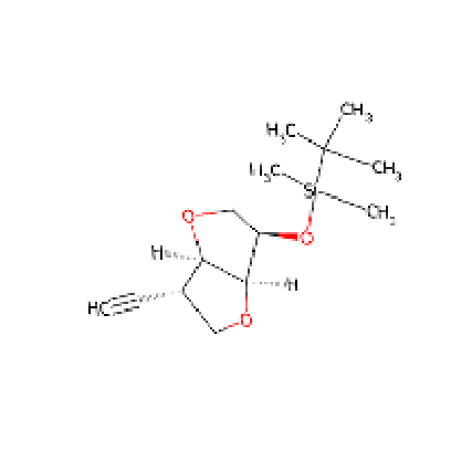 C#C[C@H]1CO[C@H]2[C@@H]1OC[C@H]2O[Si](C)(C)C(C)(C)C